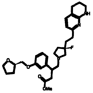 COC(=O)CC(CN1CC[C@@](F)(CCc2ccc3c(n2)NCCC3)C1)c1cccc(OC[C@@H]2CCCO2)c1